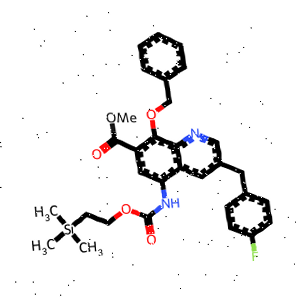 COC(=O)c1cc(NC(=O)OCC[Si](C)(C)C)c2cc(Cc3ccc(F)cc3)cnc2c1OCc1ccccc1